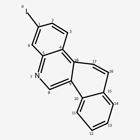 Ic1ccc2c(c1)ncc1c3ccccc3ccc21